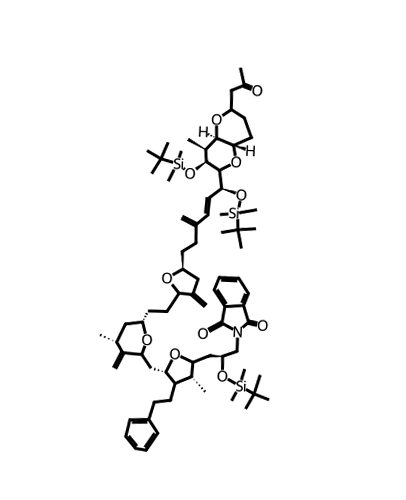 C=C(/C=C/[C@H](O[Si](C)(C)C(C)(C)C)C1O[C@H]2CCC(CC(C)=O)O[C@@H]2[C@H](C)[C@@H]1O[Si](C)(C)C(C)(C)C)CC[C@H]1CC(=C)C(CC[C@H]2C[C@@H](C)C(=C)C(C[C@@H]3OC(C[C@@H](CN4C(=O)c5ccccc5C4=O)O[Si](C)(C)C(C)(C)C)[C@H](C)C3CCc3ccccc3)O2)O1